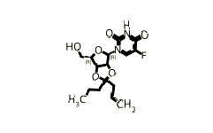 CCCC1(CCC)OC2C(O1)[C@@H](CO)O[C@H]2n1cc(F)c(=O)[nH]c1=O